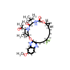 COc1ccc2nc3c(nc2c1)O[C@H]1CN(C(=O)[C@H](C(C)(C)C)NC(=O)O[C@@H]2C[C@H]2CCCC(F)(F)CC3)[C@H](C(C)=O)[C@@H]1C